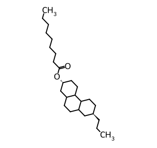 CCCCCCCCC(=O)O[C@@H]1CCC2C(CCC3C[C@H](CCC)CCC32)C1